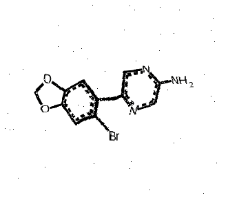 Nc1cnc(-c2cc3c(cc2Br)OCO3)cn1